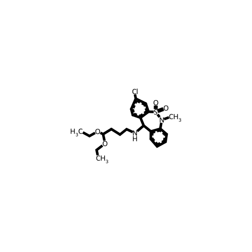 CCOC(CCCNC1c2ccccc2N(C)S(=O)(=O)c2cc(Cl)ccc21)OCC